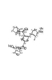 Cc1cc(NC(C)C)ncc1-c1sc(C(=O)N[C@H]2COC[C@@H]2O)nc1C(=O)N1C2CCC1CC2